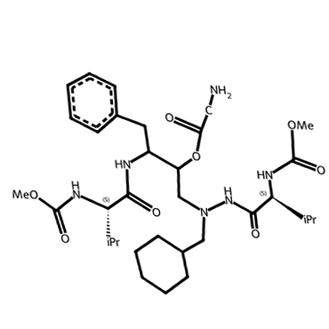 COC(=O)N[C@H](C(=O)NC(Cc1ccccc1)C(CN(CC1CCCCC1)NC(=O)[C@@H](NC(=O)OC)C(C)C)OC(=O)CN)C(C)C